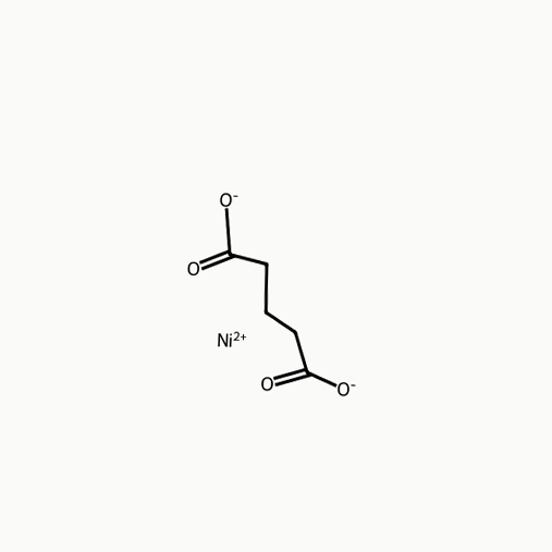 O=C([O-])CCCC(=O)[O-].[Ni+2]